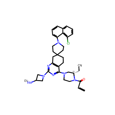 C=CC(=O)N1CCN(c2nc(N3CC(NCC)C3)nc3c2CCC2(CCN(c4cccc5cccc(Cl)c45)CC2)C3)C[C@@H]1CC#N